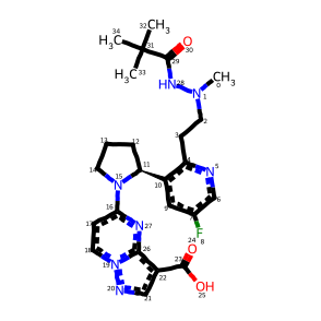 CN(CCc1ncc(F)cc1[C@@H]1CCCN1c1ccn2ncc(C(=O)O)c2n1)NC(=O)C(C)(C)C